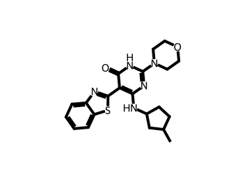 CC1CCC(Nc2nc(N3CCOCC3)[nH]c(=O)c2-c2nc3ccccc3s2)C1